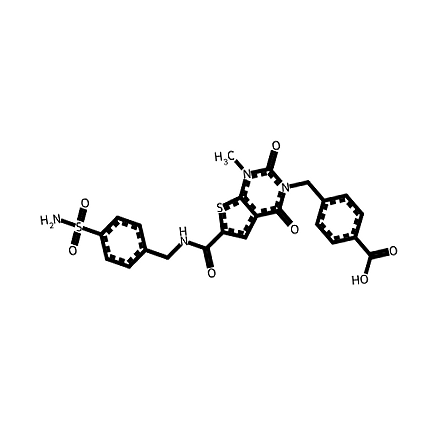 Cn1c(=O)n(Cc2ccc(C(=O)O)cc2)c(=O)c2cc(C(=O)NCc3ccc(S(N)(=O)=O)cc3)sc21